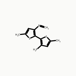 C=Nc1cc(C)sc1-c1sc(C)cc1P